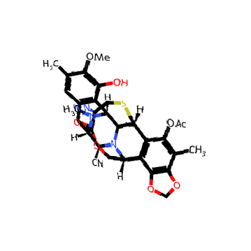 COc1c(C)cc2c(c1O)[C@@H]1C3[C@@H]4SC[C@H](N)C(=O)OC[C@@H](c5c6c(c(C)c(OC(C)=O)c54)OCO6)N3[C@@H](C#N)[C@H](C2)N1C